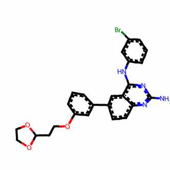 Nc1nc(Nc2cccc(Br)c2)c2cc(-c3cccc(OCCC4OCCO4)c3)ccc2n1